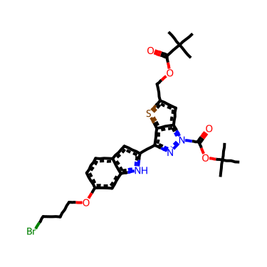 CC(C)(C)OC(=O)n1nc(-c2cc3ccc(OCCCBr)cc3[nH]2)c2sc(COC(=O)C(C)(C)C)cc21